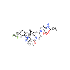 CC(=O)N[C@@H]1CCN(C2CCN(C(=O)c3c(C)nn(-c4cccc(C(F)(F)F)c4)c3C3CC3)CC2)C1O